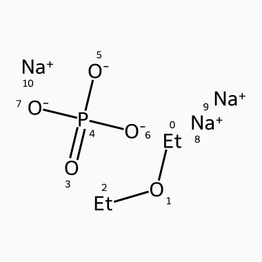 CCOCC.O=P([O-])([O-])[O-].[Na+].[Na+].[Na+]